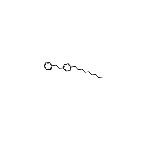 CCCCCCCCCc1ccc(CCc2ccccc2)cc1